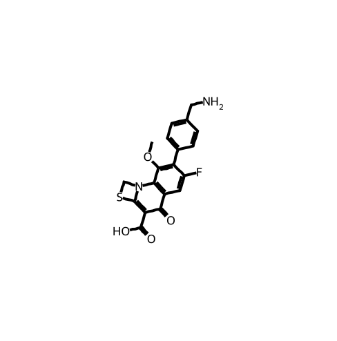 COc1c(-c2ccc(CN)cc2)c(F)cc2c(=O)c(C(=O)O)c3n(c12)CS3